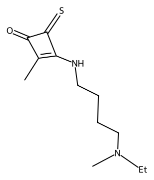 CCN(C)CCCCNc1c(C)c(=O)c1=S